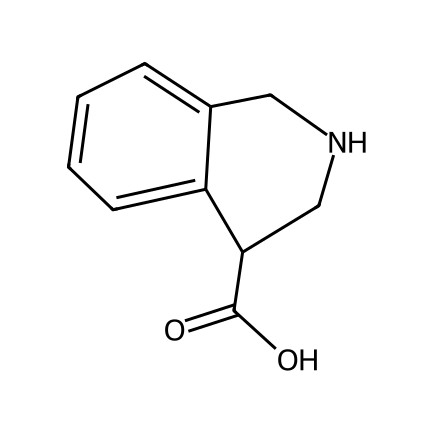 O=C(O)C1CNCc2ccccc21